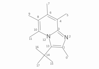 Cc1nc2c(C)c(C)c(C)c(C)n2c1C(C)(C)C